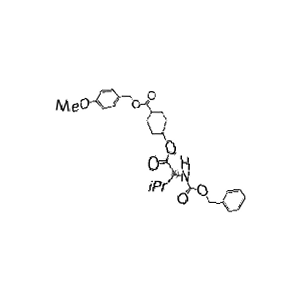 COc1ccc(COC(=O)C2CCC(OC(=O)[C@@H](NC(=O)OCc3ccccc3)C(C)C)CC2)cc1